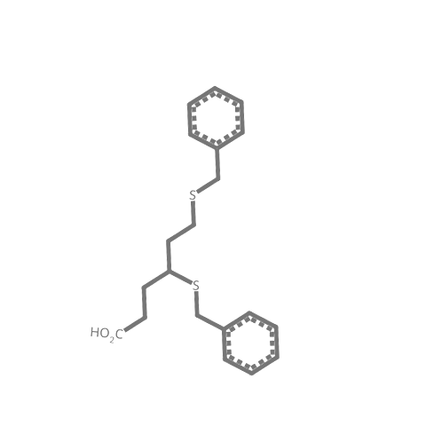 O=C(O)CCC(CCSCc1ccccc1)SCc1ccccc1